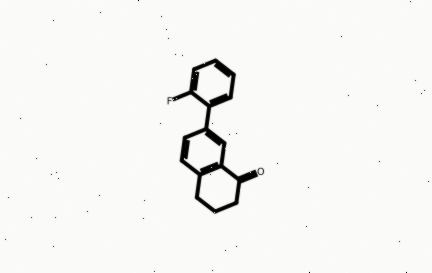 O=C1CCCc2ccc(-c3ccccc3F)cc21